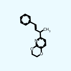 CC(C=Cc1ccccc1)c1ccc2c(n1)OCCO2